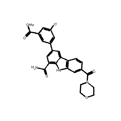 COC(=O)c1cc(Cl)cc(-c2cc(C(N)=O)c3[nH]c4cc(C(=O)N5CCOCC5)ccc4c3c2)c1